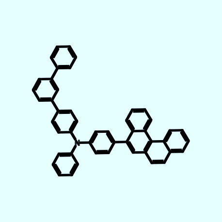 c1ccc(-c2cccc(-c3ccc(N(c4ccccc4)c4ccc(-c5cc6ccc7ccccc7c6c6ccccc56)cc4)cc3)c2)cc1